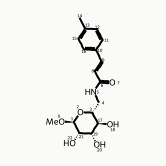 CO[C@H]1O[C@H](CNC(=O)C=Cc2ccc(C)cc2)[C@@H](O)[C@H](O)[C@@H]1O